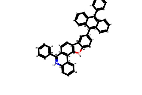 c1ccc(-c2c3ccccc3c(-c3ccc4oc5c(ccc6c(-c7ccccc7)nc7ccccc7c65)c4c3)c3ccccc23)cc1